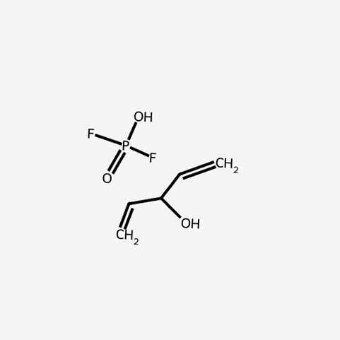 C=CC(O)C=C.O=P(O)(F)F